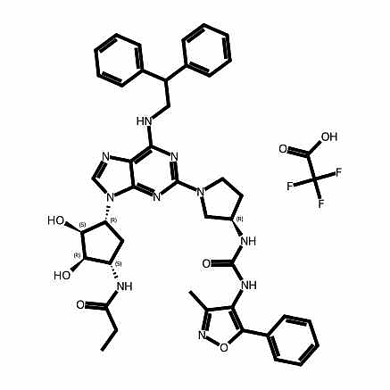 CCC(=O)N[C@H]1C[C@@H](n2cnc3c(NCC(c4ccccc4)c4ccccc4)nc(N4CC[C@@H](NC(=O)Nc5c(C)noc5-c5ccccc5)C4)nc32)[C@H](O)[C@@H]1O.O=C(O)C(F)(F)F